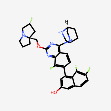 Oc1cc(-c2ccc3c(N4C[C@@H]5CCC4CN5)nc(OC[C@@]45CCCN4C[C@H](F)C5)nc3c2F)c2c(F)c(F)ccc2c1